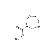 CC(C)(C)OC(=O)C1CNCCOC1